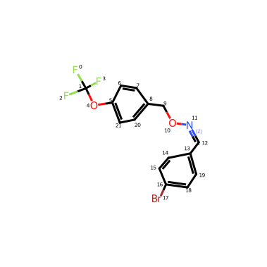 FC(F)(F)Oc1ccc(CO/N=[C]\c2ccc(Br)cc2)cc1